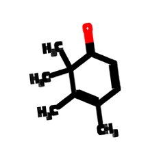 CC1=C(C)C(C)(C)C(=O)C=C1